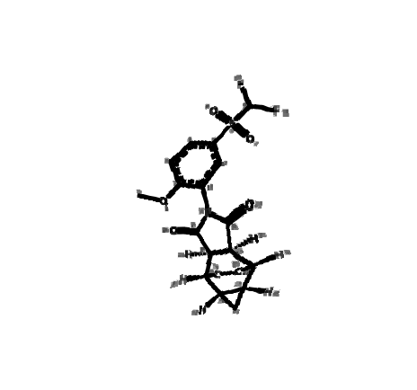 COc1ccc(S(=O)(=O)C(F)F)cc1N1C(=O)[C@@H]2[C@@H]3CC[C@@H]([C@@H]4C[C@@H]43)[C@@H]2C1=O